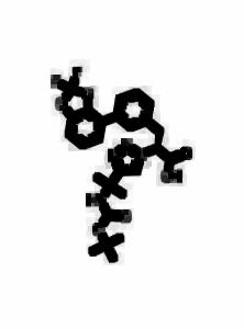 CC(C)(C)OC(=O)NC(C)(C)c1cn([C@@H](Cc2cccc(-c3cccc4c3OC(F)(F)O4)c2)C(=O)O)nn1